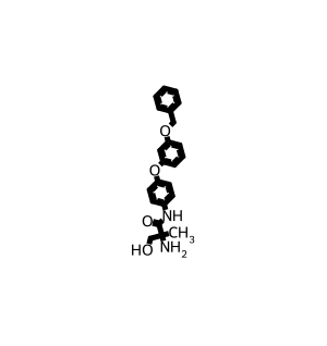 CC(N)(CO)C(=O)Nc1ccc(Oc2cccc(OCc3ccccc3)c2)cc1